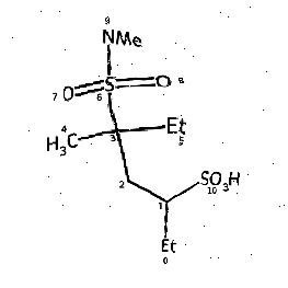 CCC(CC(C)(CC)S(=O)(=O)NC)S(=O)(=O)O